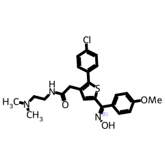 COc1ccc(/C(=N\O)c2cc(CC(=O)NCCN(C)C)c(-c3ccc(Cl)cc3)s2)cc1